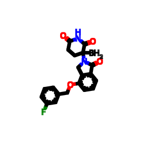 BC1(N2Cc3c(OCc4cccc(F)c4)cccc3C2=O)CCC(=O)NC1=O